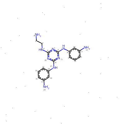 NCCNc1nc(Nc2cccc(N)c2)nc(Nc2cccc(N)c2)n1